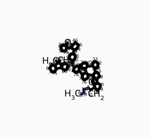 C=C(/C=C\C=C/C)c1cccc2c1oc1c3c(ccc12)-c1ccccc1-c1ccccc1-c1c(-c2ccc(N(c4ccc(-c5cccc6oc7ccccc7c56)cc4)c4ccc5c(c4)C(C)(C)c4ccccc4-5)cc2)cccc1-3